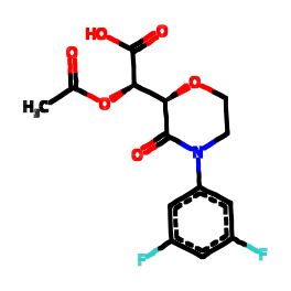 CC(=O)O[C@@H](C(=O)O)[C@H]1OCCN(c2cc(F)cc(F)c2)C1=O